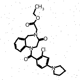 CCOC(=O)CN1Cc2ccccc2N(C(=O)c2ccc(N3CCCC3)cc2Cl)CC1=O